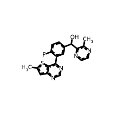 Cc1cc2ncnc(-c3cc(C(O)c4nccnc4C)ccc3F)c2s1